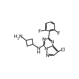 NC1CC(Nc2nc(-c3c(F)cccc3F)nc3c(Cl)cnn23)C1